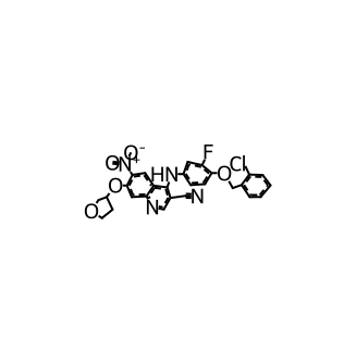 N#Cc1cnc2cc(OC3CCOC3)c([N+](=O)[O-])cc2c1Nc1ccc(OCc2ccccc2Cl)c(F)c1